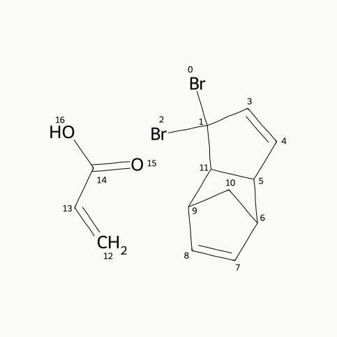 BrC1(Br)C=CC2C3C=CC(C3)C21.C=CC(=O)O